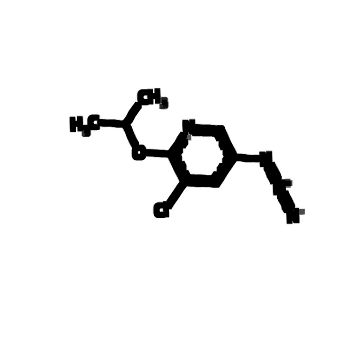 CC(C)Oc1ncc(N=[N+]=[N-])cc1Cl